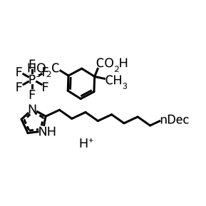 CC1(C(=O)O)C=CC=C(C(=O)O)C1.CCCCCCCCCCCCCCCCCCc1ncc[nH]1.F[P-](F)(F)(F)(F)F.[H+]